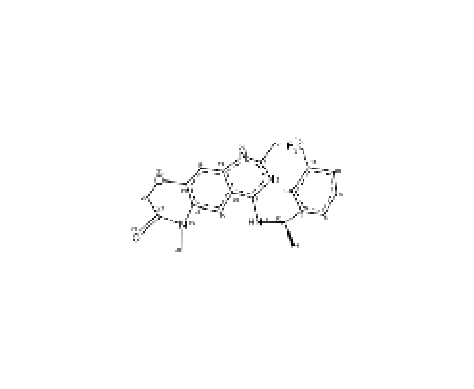 Cc1nc(N[C@H](C)c2cccc(C(F)(F)F)c2)c2cc3c(cc2n1)OCC(=O)N3C